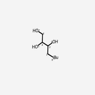 CCC(C)CC(O)C(O)CO